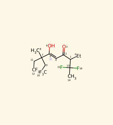 CCC(C(=O)/C=C(\O)C(C)(CC(F)(F)F)CC(F)(F)F)C(C)(F)F